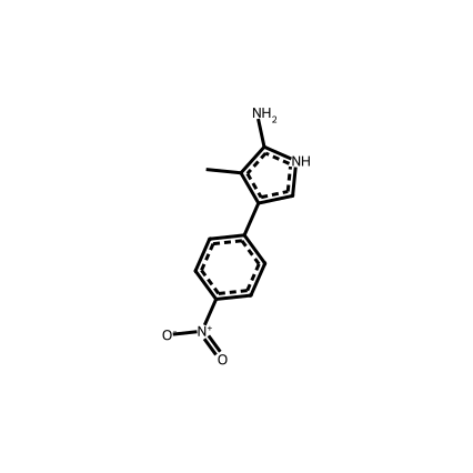 Cc1c(-c2ccc([N+](=O)[O-])cc2)c[nH]c1N